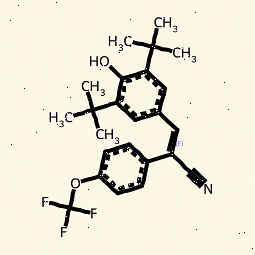 CC(C)(C)c1cc(/C=C(/C#N)c2ccc(OC(F)(F)F)cc2)cc(C(C)(C)C)c1O